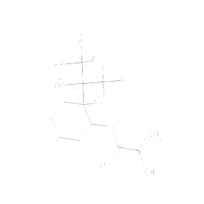 C=C(C)C(=O)OC1CCCCC1(F)C(O)(C(F)(F)F)C(F)(F)F